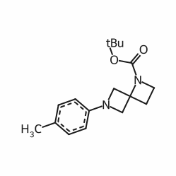 Cc1ccc(N2CC3(CCN3C(=O)OC(C)(C)C)C2)cc1